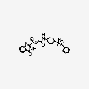 O=C(CC[S+]([O-])c1nc2ccccc2c(=O)[nH]1)NC1CCC(c2nnc(-c3ccccc3)o2)CC1